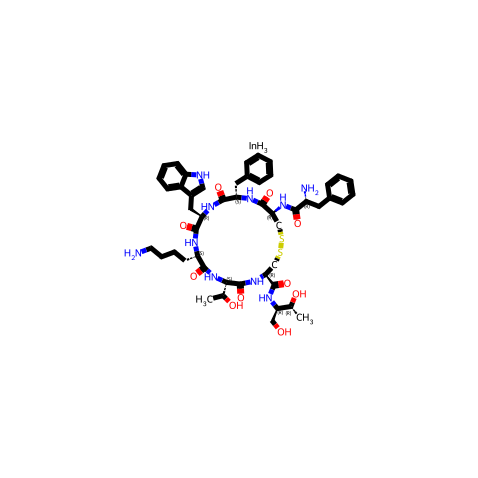 CC(O)[C@@H]1NC(=O)[C@H](CCCCN)NC(=O)[C@@H](Cc2c[nH]c3ccccc23)NC(=O)[C@H](Cc2ccccc2)NC(=O)[C@@H](NC(=O)[C@H](N)Cc2ccccc2)CSSC[C@@H](C(=O)N[C@H](CO)[C@@H](C)O)NC1=O.[InH3]